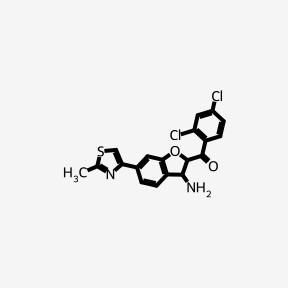 Cc1nc(-c2ccc3c(c2)OC(C(=O)c2ccc(Cl)cc2Cl)C3N)cs1